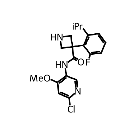 COc1cc(Cl)ncc1NC(=O)C1(c2c(F)cccc2C(C)C)CNC1